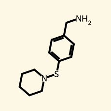 NCc1ccc(SN2CCCCC2)cc1